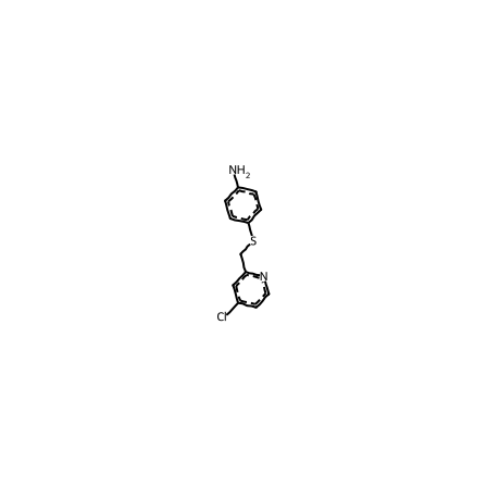 Nc1ccc(SCc2cc(Cl)ccn2)cc1